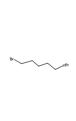 CCCCCCC[CH]Br